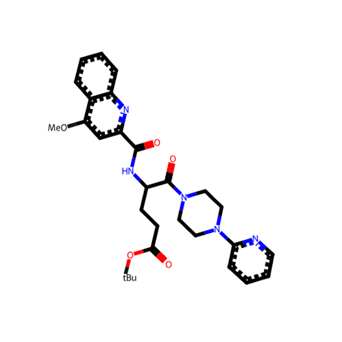 COc1cc(C(=O)NC(CCC(=O)OC(C)(C)C)C(=O)N2CCN(c3ccccn3)CC2)nc2ccccc12